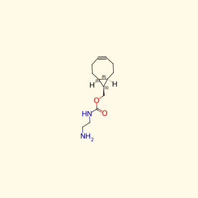 NCCNC(=O)OC[C@@H]1[C@@H]2CCC#CCC[C@@H]21